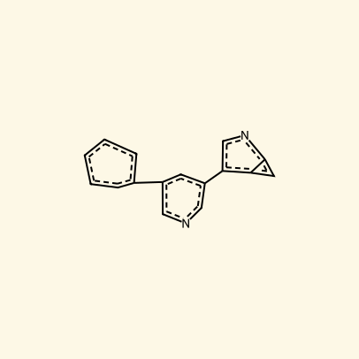 c1ccc(-c2cncc(-c3cnc4cc3-4)c2)cc1